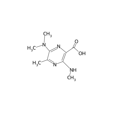 CNc1nc(C)c(N(C)C)nc1C(=O)O